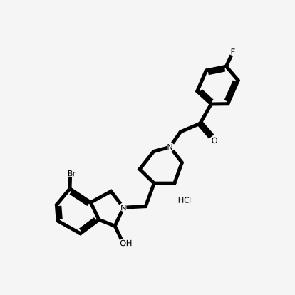 Cl.O=C(CN1CCC(CN2Cc3c(Br)cccc3C2O)CC1)c1ccc(F)cc1